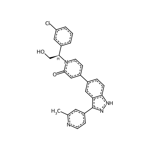 Cc1cc(-c2n[nH]c3ccc(-c4ccn([C@@H](CO)c5cccc(Cl)c5)c(=O)c4)cc23)ccn1